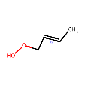 C/C=C/COO